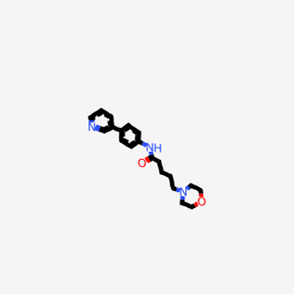 O=C(CCCCN1CCOCC1)Nc1ccc(-c2cccnc2)cc1